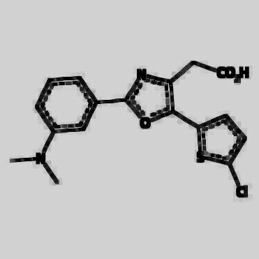 CN(C)c1cccc(-c2nc(CC(=O)O)c(-c3ccc(Cl)s3)o2)c1